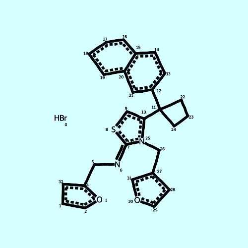 Br.c1coc(CN=c2scc(C3(c4ccc5ccccc5c4)CCC3)n2Cc2ccoc2)c1